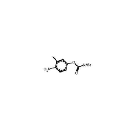 CNC(=O)Oc1ccc([N+](=O)[O-])c(C)c1